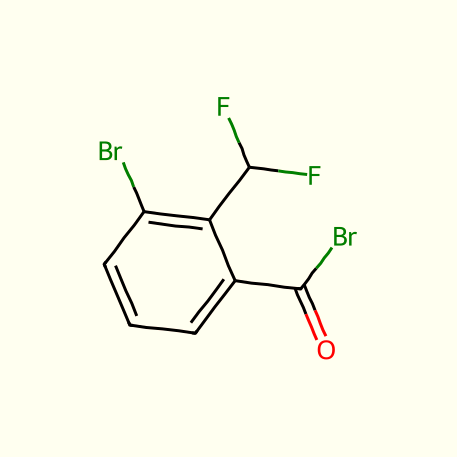 O=C(Br)c1cccc(Br)c1C(F)F